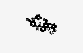 COC1CCN(Cc2cc3c(nc2C=O)N(C(=O)Nc2cc(N[C@H]4CCOC4)c(C#N)cn2)CCC3)C1C